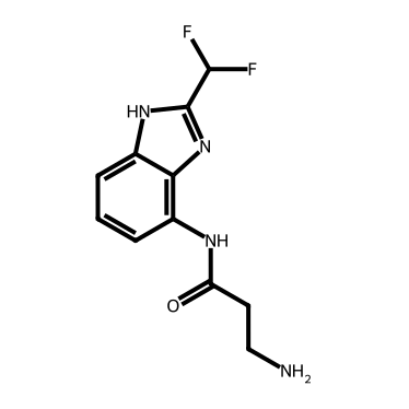 NCCC(=O)Nc1cccc2[nH]c(C(F)F)nc12